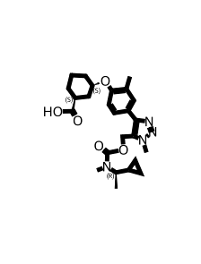 Cc1cc(-c2nnn(C)c2COC(=O)N(C)[C@H](C)C2CC2)ccc1O[C@H]1CCC[C@H](C(=O)O)C1